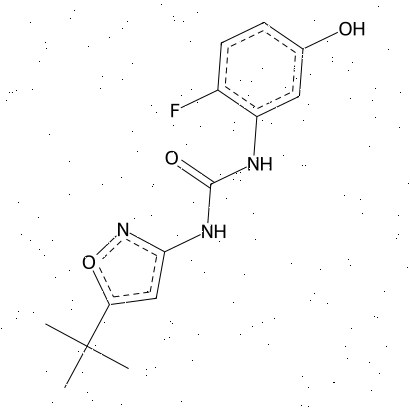 CC(C)(C)c1cc(NC(=O)Nc2cc(O)ccc2F)no1